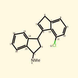 CNC1CC(C2=CCc3cccc(Cl)c32)c2ccccc21